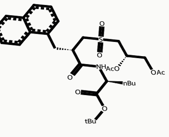 CCCC[C@H](NC(=O)[C@H](Cc1cccc2ccccc12)CS(=O)(=O)C[C@H](COC(C)=O)OC(C)=O)C(=O)OC(C)(C)C